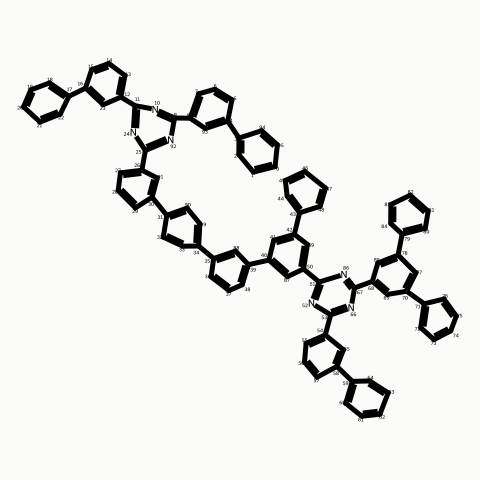 c1ccc(-c2cccc(-c3nc(-c4cccc(-c5ccccc5)c4)nc(-c4cccc(-c5ccc(-c6cccc(-c7cc(-c8ccccc8)cc(-c8nc(-c9cccc(-c%10ccccc%10)c9)nc(-c9cc(-c%10ccccc%10)cc(-c%10ccccc%10)c9)n8)c7)c6)cc5)c4)n3)c2)cc1